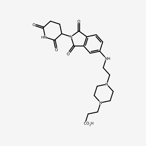 O=C(O)CCN1CCN(CCNc2ccc3c(c2)C(=O)N(C2CCC(=O)NC2=O)C3=O)CC1